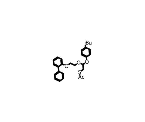 CCC(C)c1ccc(OC(CSC(C)=O)OCCOc2ccccc2-c2ccccc2)cc1